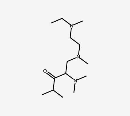 CCN(C)CCN(C)CC(C(=O)C(C)C)N(C)C